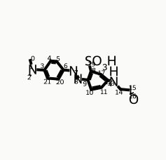 CN(C)c1ccc(N=Nc2ccc(NCI=O)cc2S(=O)(=O)O)cc1